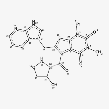 CC(C)n1c(=O)n(C)c(=O)c2c(C(=O)[C@H]3NOCC3O)c(Cc3c[nH]c4ncccc34)sc21